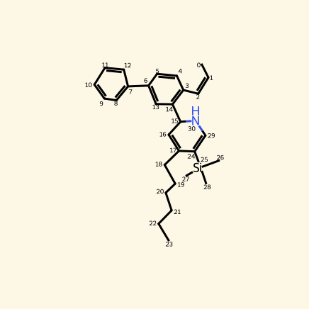 C/C=C\c1ccc(-c2ccccc2)cc1C1C=C(CCCCCC)C([Si](C)(C)C)=CN1